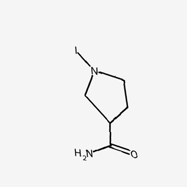 NC(=O)C1CCN(I)C1